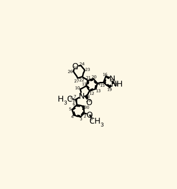 COc1cccc([C@@H](C)N2Cc3c(cc(-c4cn[nH]c4)cc3C3CCOCC3)C2=O)c1